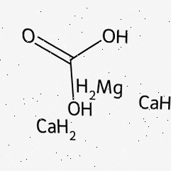 O=C(O)O.[CaH2].[CaH2].[MgH2]